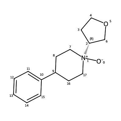 [O-][N+]1([C@@H]2CCOC2)CCC(c2ccccc2)CC1